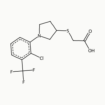 O=C(O)CSC1CCN(c2cccc(C(F)(F)F)c2Cl)C1